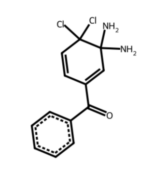 NC1(N)C=C(C(=O)c2ccccc2)C=CC1(Cl)Cl